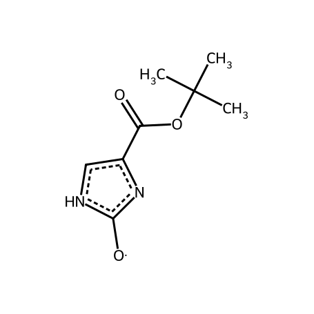 CC(C)(C)OC(=O)c1c[nH]c([O])n1